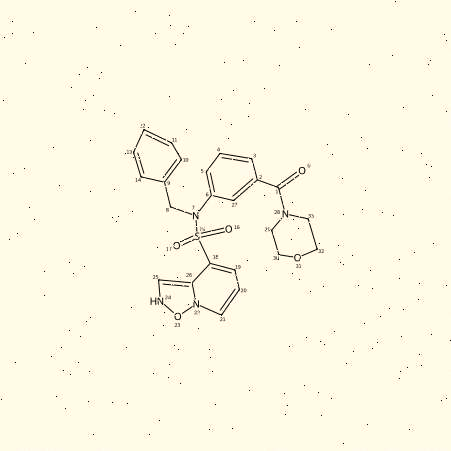 O=C(c1cccc(N(Cc2ccccc2)S(=O)(=O)C2=CC=CN3ONC=C23)c1)N1CCOCC1